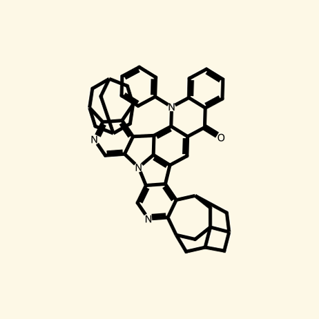 O=c1c2ccccc2n(-c2ccccc2)c2c1cc1c3c4c(ncc3n3c5cnc6c(c5c2c13)C1CC2CC(CC6C2)C1)C1CC2CC3CC4CC23C1